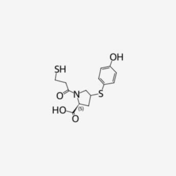 O=C(O)[C@@H]1CC(Sc2ccc(O)cc2)CN1C(=O)CCS